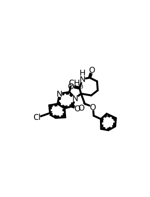 Cc1nc2cc(Cl)ccc2c(=O)n1C1(C(=O)OCc2ccccc2)CCCC(=O)NC1=O